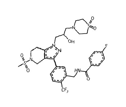 CS(=O)(=O)N1CCc2c(c(-c3ccc(C(F)(F)F)c(CNC(=O)c4ccc(F)cc4)c3)nn2CC(O)CN2CCS(=O)(=O)CC2)C1